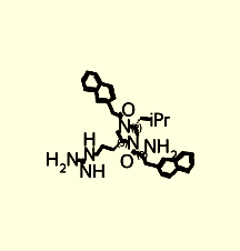 CC(C)C[C@@H]1CN(C(=O)[C@H](N)Cc2ccc3ccccc3c2)[C@@H](CCCNC(=N)N)CN1C(=O)Cc1ccc2ccccc2c1